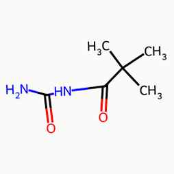 CC(C)(C)C(=O)NC(N)=O